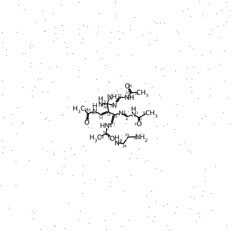 CC(=O)NC=NC(=CNC(C)=O)C(=CNC(C)=O)C(N)(N)N=CNC(C)=O.NCCN